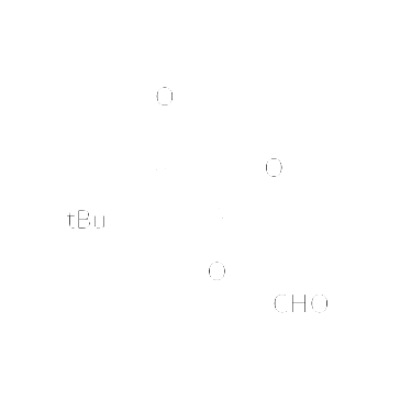 CC(C)(C)C(=O)C(=O)O[C]=O